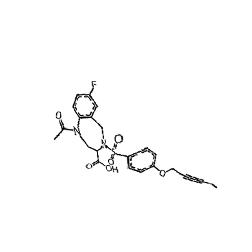 CC#CCOc1ccc(S(=O)(=O)N2Cc3cc(F)ccc3N(C(C)=O)CC2C(=O)O)cc1